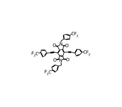 O=c1c2c(C#Cc3ccc(C(F)(F)F)cc3)c3c(=O)n(Cc4ccc(C(F)(F)F)cc4)c(=O)c3c(C#Cc3ccc(C(F)(F)F)cc3)c2c(=O)n1Cc1ccc(C(F)(F)F)cc1